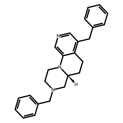 c1ccc(Cc2cncc3c2CC[C@@H]2CN(Cc4ccccc4)CCN32)cc1